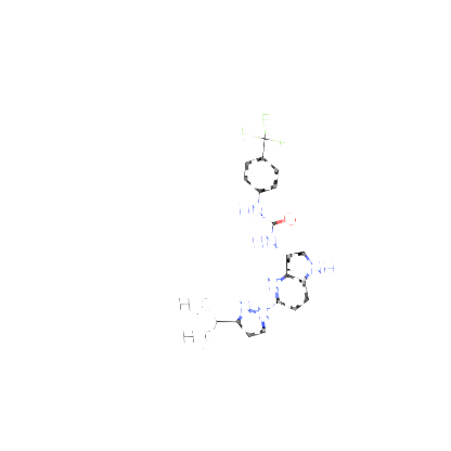 CC(C)c1ccn(-c2ccc3[nH]cc(NC(=O)Nc4ccc(C(F)(F)F)cc4)c3n2)n1